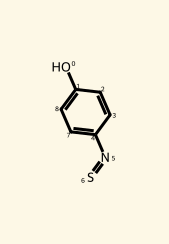 Oc1ccc(N=S)cc1